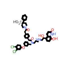 O=C(Cc1ccc(CC(=O)N(CCCNCC(O)c2ccc(O)c3[nH]c(=O)ccc23)Cc2cccc(Oc3ccc(Cl)c(Cl)c3)c2)cc1)N1CCC(C(=O)O)(c2ccccc2)CC1